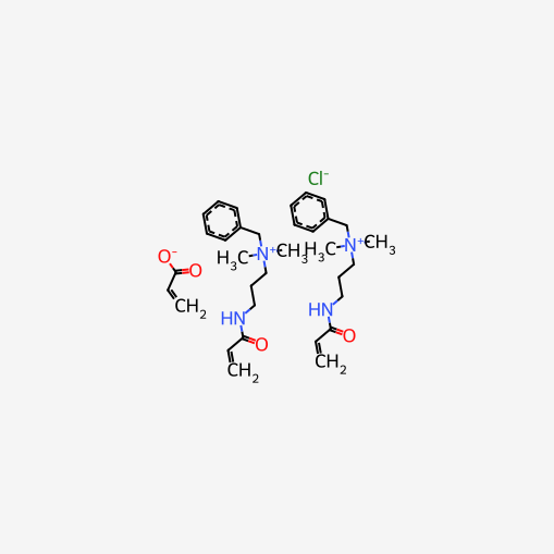 C=CC(=O)NCCC[N+](C)(C)Cc1ccccc1.C=CC(=O)NCCC[N+](C)(C)Cc1ccccc1.C=CC(=O)[O-].[Cl-]